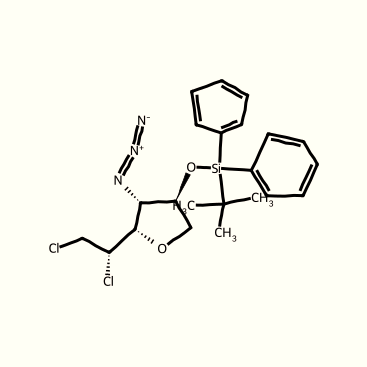 CC(C)(C)[Si](O[C@H]1CO[C@H]([C@H](Cl)CCl)[C@@H]1N=[N+]=[N-])(c1ccccc1)c1ccccc1